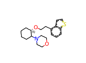 c1cc(CCO[C@H]2CCCCC2N2CCOCC2)c2ccsc2c1